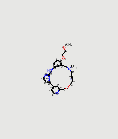 COCCOc1ccc2cc1CN(C)C/C=C/COCc1cc(ccn1)-c1ccnc(n1)N2